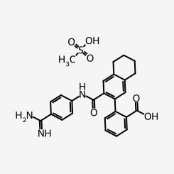 CS(=O)(=O)O.N=C(N)c1ccc(NC(=O)c2cc3c(cc2-c2ccccc2C(=O)O)CCCC3)cc1